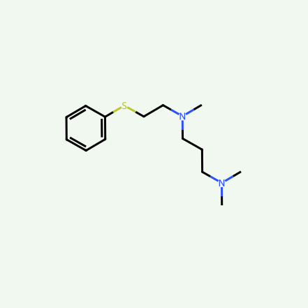 CN(C)CCCN(C)CCSc1ccccc1